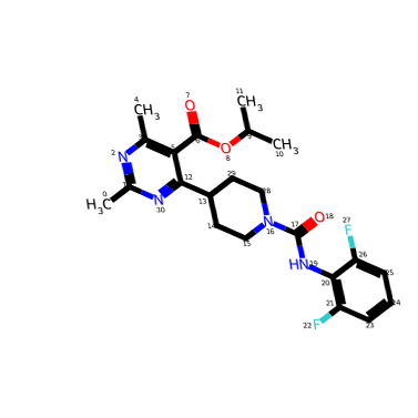 Cc1nc(C)c(C(=O)OC(C)C)c(C2CCN(C(=O)Nc3c(F)cccc3F)CC2)n1